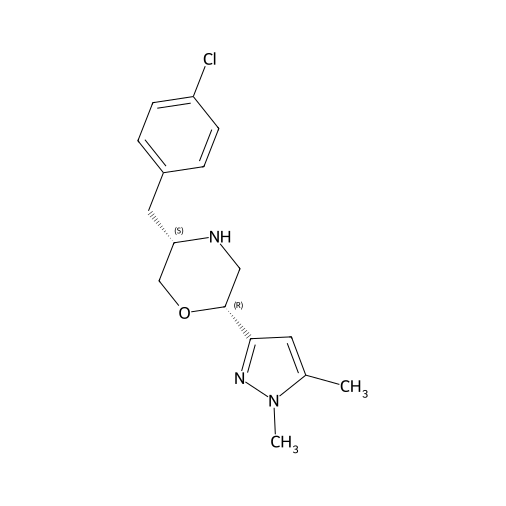 Cc1cc([C@H]2CN[C@@H](Cc3ccc(Cl)cc3)CO2)nn1C